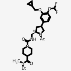 CCN(C)C(=O)C1CCN(C(=O)NC[C@H]2CC(c3ccc(OC(F)F)c(OCC4CC4)c3)CN2C(C)=O)CC1